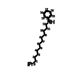 CC(C)CCCCCCCCCCCCNc1ccccc1